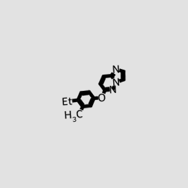 CCc1ccc(Oc2ccc3nccn3n2)cc1C